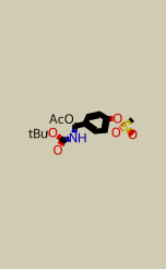 CC(=O)OC(NC(=O)OC(C)(C)C)c1ccc(OS(C)(=O)=O)cc1